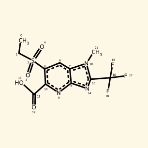 CCS(=O)(=O)c1cc2c(nc1C(=O)O)nc(C(F)(F)F)n2C